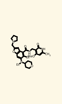 CCc1c(N(CC)C2CCOCC2)cc2oc(CN3CCCC3)cc2c1C(=O)NCc1c(OC)cc(C)[nH]c1=O